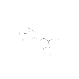 CCCCCCCCCCC[S+]([O-])C(CCCCCCCC)C(C)OC(CP(=O)(O)OCCC)C(=O)O